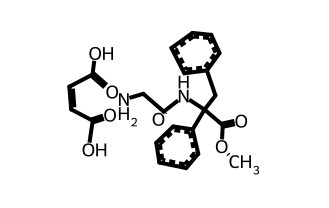 COC(=O)C(Cc1ccccc1)(NC(=O)CN)c1ccccc1.O=C(O)/C=C\C(=O)O